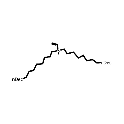 C=C[Si](C)(CCCCCCCCCCCCCCCCCC)CCCCCCCCCCCCCCCCCC